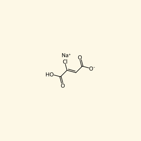 O=C([O-])C=C(Cl)C(=O)O.[Na+]